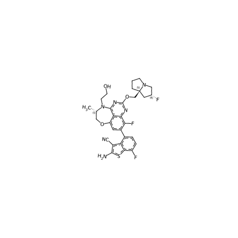 C[C@H]1COc2cc(-c3ccc(F)c4sc(N)c(C#N)c34)c(F)c3nc(OC[C@@]45CCCN4C[C@H](F)C5)nc(c23)N1CCO